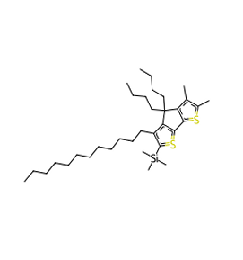 CCCCCCCCCCCCc1c([Si](C)(C)C)sc2c1C(CCCC)(CCCC)c1c-2sc(C)c1C